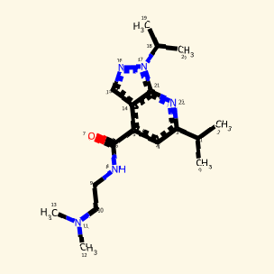 CC(C)c1cc(C(=O)NCCN(C)C)c2cnn(C(C)C)c2n1